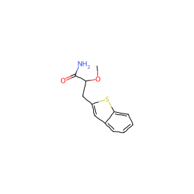 COC(Cc1cc2ccccc2s1)C(N)=O